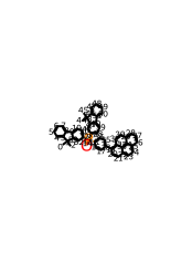 CC1(C)c2ccccc2-c2ccc(P(=O)(c3ccc(-c4ccc5ccc6cccc7ccc4c5c67)cc3)c3ccc4c(c3)C(C)(C)c3ccccc3-4)cc21